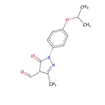 CC1=NN(c2ccc(OC(C)C)cc2)C(=O)C1C=O